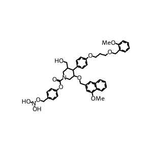 COc1ccccc1COCCCOc1ccc(C2C(CO)CN(C(=O)Oc3ccc(CON(O)O)cc3)CC2OCc2cc(OC)c3ccccc3c2)cc1